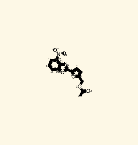 CC(=O)OCc1ccc(-c2nc3c([N+](=O)[O-])cccc3o2)o1